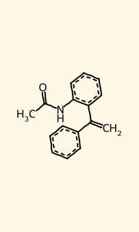 C=C(c1ccccc1)c1ccccc1NC(C)=O